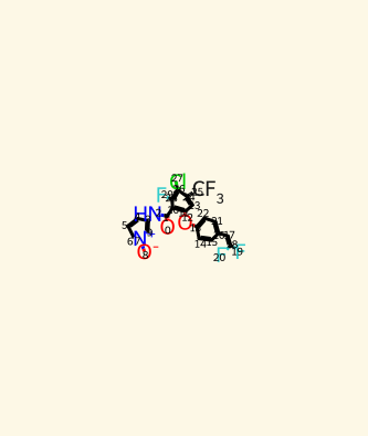 O=C(Nc1ccc[n+]([O-])c1)c1c(Oc2ccc(C=C(F)F)cc2)cc(C(F)(F)F)c(Cl)c1F